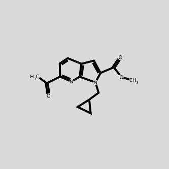 COC(=O)c1cc2ccc(C(C)=O)nc2n1CC1CC1